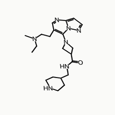 CCN(C)CCc1cnc2ccnn2c1N1CC(C(=O)NCC2CCNCC2)C1